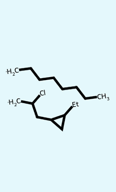 [CH2]C(Cl)CC1CC1CC.[CH2]CCCCCCC